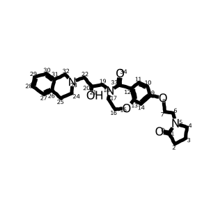 O=C1CCCN1CCOc1ccc2c(c1)OCCN(CC(O)CN1CCc3ccccc3C1)C2=O